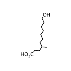 CC(CCCCCCCO)CCC(=O)O